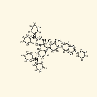 Cc1c(-c2ccc3nc(-c4ccccc4)oc3c2)ccc(-n2c3ccc(N(c4ccccc4)c4ccccc4)cc3c3cc(N(c4ccccc4)c4ccccc4)ccc32)c1C